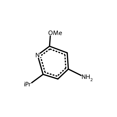 COc1cc(N)cc(C(C)C)n1